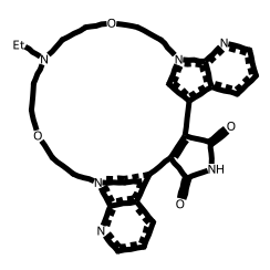 CCN1CCOCCn2cc(c3cccnc32)C2=C(C(=O)NC2=O)c2cn(c3ncccc23)CCOCC1